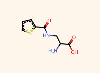 NC(CNC(=O)c1cccs1)C(=O)O